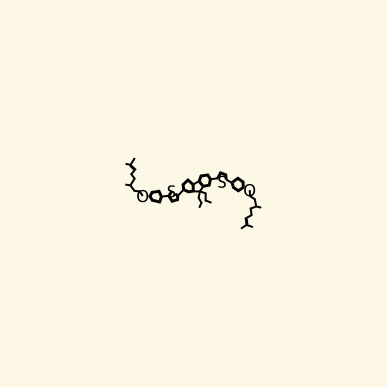 CCCC1(CCC)c2cc(-c3ccc(-c4ccc(OCCC(C)CCC=C(C)C)cc4)s3)ccc2-c2ccc(-c3ccc(-c4ccc(OCCC(C)CCC=C(C)C)cc4)s3)cc21